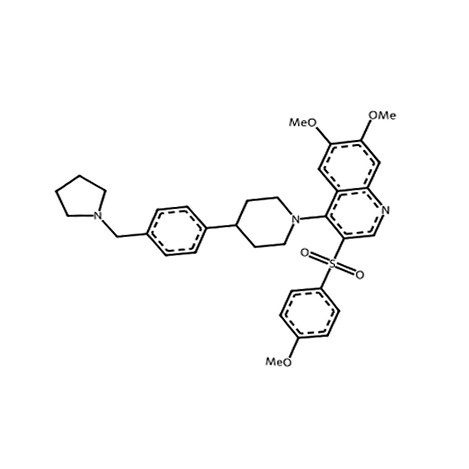 COc1ccc(S(=O)(=O)c2cnc3cc(OC)c(OC)cc3c2N2CCC(c3ccc(CN4CCCC4)cc3)CC2)cc1